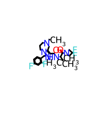 CCN1CCCn2c(-c3ccc(F)cc3F)nc(C(=O)N[C@H](C(=O)N3CC(F)(F)C3)C(C)(C)C)c2C1